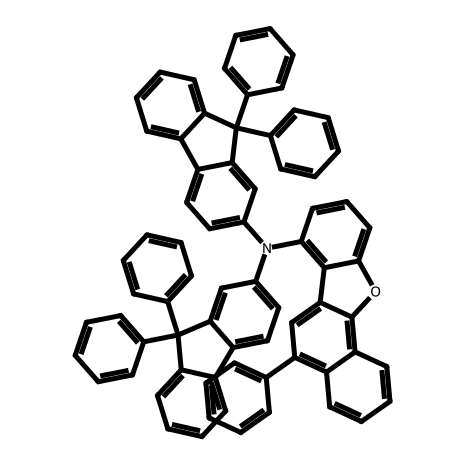 c1ccc(-c2cc3c(oc4cccc(N(c5ccc6c(c5)C(c5ccccc5)(c5ccccc5)c5ccccc5-6)c5ccc6c(c5)C(c5ccccc5)(c5ccccc5)c5ccccc5-6)c43)c3ccccc23)cc1